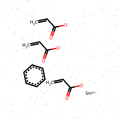 C=CC(=O)[O-].C=CC(=O)[O-].C=CC(=O)[O-].[Sm+3].c1ccccc1